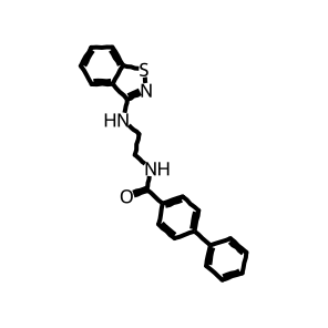 O=C(NCCNc1nsc2ccccc12)c1ccc(-c2ccccc2)cc1